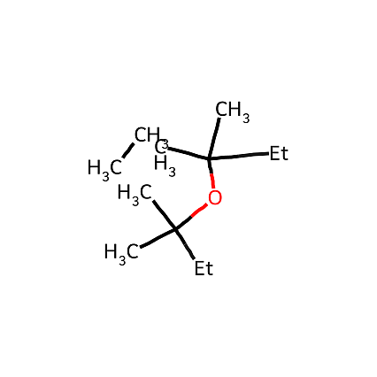 CC.CCC(C)(C)OC(C)(C)CC